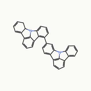 C1=CCC2C(=C1)c1cccc3c4c(-c5ccc6c7cccc8c9ccccc9n(c6c5)c87)cccc4n2c13